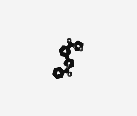 O=C(c1cccc(C2CCN(C(=O)c3ccccc3)C2)c1)N1CCOC1